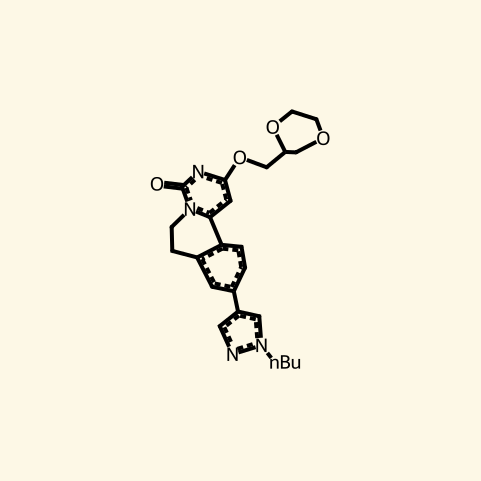 CCCCn1cc(-c2ccc3c(c2)CCn2c-3cc(OCC3COCCO3)nc2=O)cn1